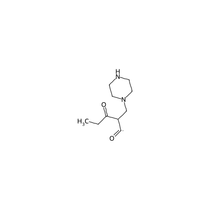 CCC(=O)C([C]=O)CN1CCNCC1